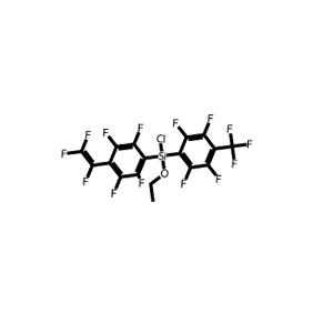 CCO[Si](Cl)(c1c(F)c(F)c(C(F)=C(F)F)c(F)c1F)c1c(F)c(F)c(C(F)(F)F)c(F)c1F